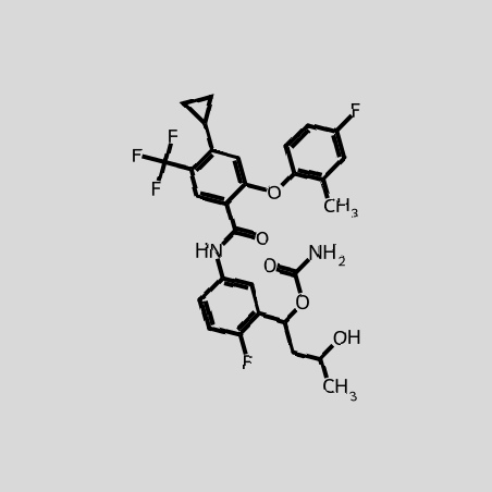 Cc1cc(F)ccc1Oc1cc(C2CC2)c(C(F)(F)F)cc1C(=O)Nc1ccc(F)c(C(CC(C)O)OC(N)=O)c1